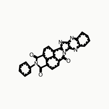 O=C1c2ccc3c(=O)n4c5nc6ccccc6nc5nc4c4ccc(c2c34)C(=O)N1c1ccccc1